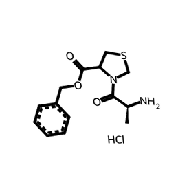 C[C@H](N)C(=O)N1CSCC1C(=O)OCc1ccccc1.Cl